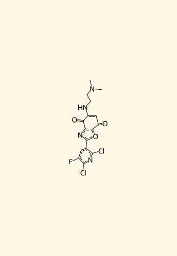 CN(C)CCNC1=CC(=O)c2oc(-c3cc(F)c(Cl)nc3Cl)nc2C1=O